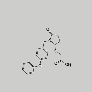 O=C(O)CSC1CCC(=O)N1Cc1ccc(Oc2ccccc2)cc1